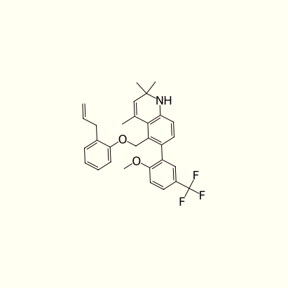 C=CCc1ccccc1OCc1c(-c2cc(C(F)(F)F)ccc2OC)ccc2c1C(C)=CC(C)(C)N2